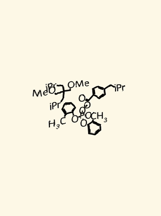 COCC(COC)(CC(C)C)CC(C)C.Cc1ccccc1OP(=O)(OOC(=O)c1ccc(CC(C)C)cc1)Oc1ccccc1C